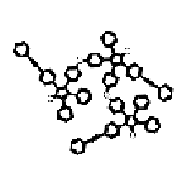 O=C1C(c2ccccc2)=C(c2ccccc2)C(c2ccc(Oc3ccc(C4=C(c5ccccc5)C(=O)C(c5ccc(C#Cc6ccccc6)cc5)=C4c4ccc(Oc5ccc(C6=C(c7ccc(C#Cc8ccccc8)cc7)C(=O)C(c7ccccc7)=C6c6ccccc6)cc5)cc4)cc3)cc2)=C1c1ccc(C#Cc2ccccc2)cc1